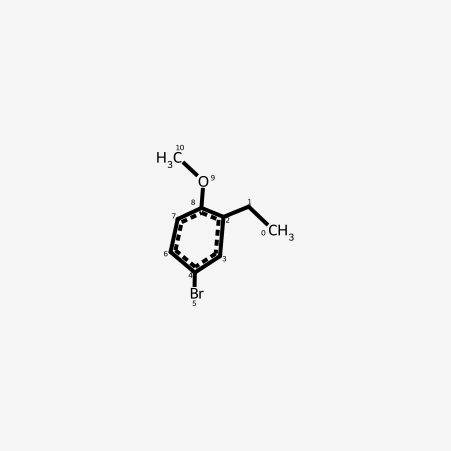 CCc1cc(Br)ccc1OC